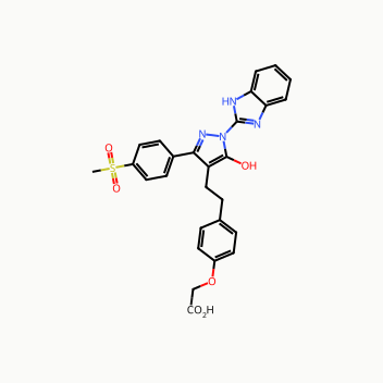 CS(=O)(=O)c1ccc(-c2nn(-c3nc4ccccc4[nH]3)c(O)c2CCc2ccc(OCC(=O)O)cc2)cc1